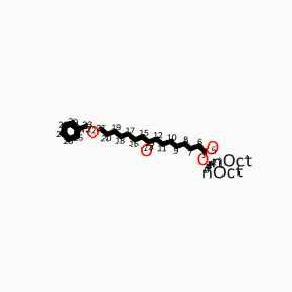 CCCCCCCCC(CCCCCCCC)OC(=O)CCCCCCCC(=O)CCCCCCCOCc1ccccc1